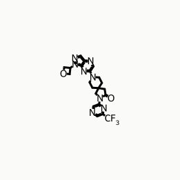 O=C1CC2(CCN(c3cnc4cnn(C5COC5)c4n3)CC2)CN1c1cncc(C(F)(F)F)n1